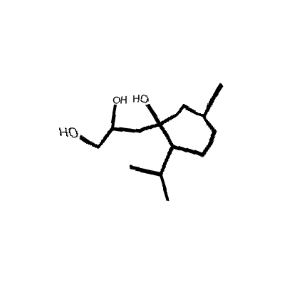 CC1CCC(C(C)C)C(O)(CC(O)CO)C1